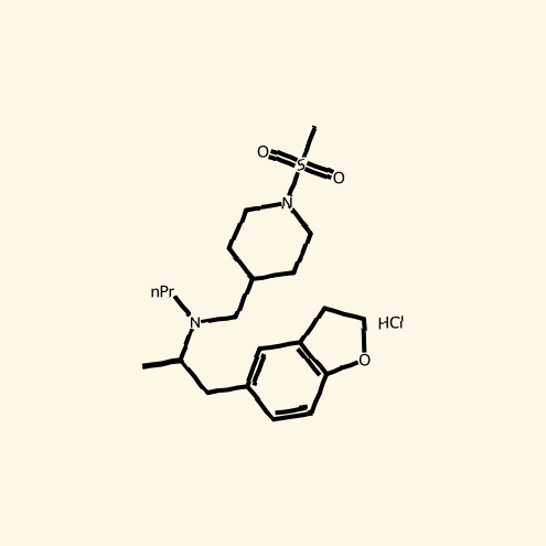 CCCN(CC1CCN(S(C)(=O)=O)CC1)C(C)Cc1ccc2c(c1)CCO2.Cl